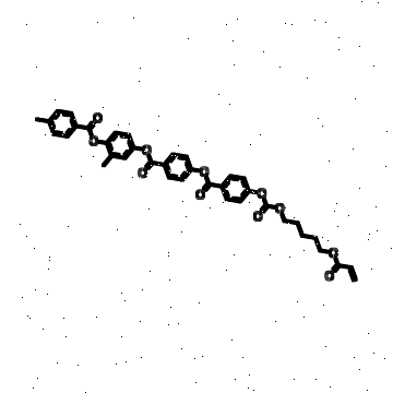 C=CC(=O)OCCCCCOC(=O)Oc1ccc(C(=O)Oc2ccc(C(=O)Oc3ccc(OC(=O)c4ccc(C)cc4)c(C)c3)cc2)cc1